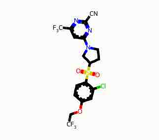 N#Cc1nc(N2CCC(S(=O)(=O)c3ccc(OCC(F)(F)F)cc3Cl)C2)cc(C(F)(F)F)n1